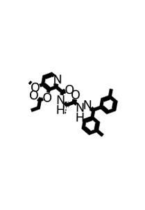 CCC(=O)Oc1c(OC)ccnc1C(=O)N[C@@H](C)C(=O)NN=C(c1cccc(C)c1)c1cccc(C)c1